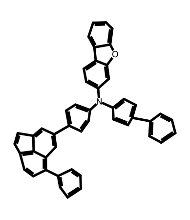 C1=Cc2cc(-c3ccc(N(c4ccc(-c5ccccc5)cc4)c4ccc5c(c4)oc4ccccc45)cc3)cc3c(-c4ccccc4)ccc1c23